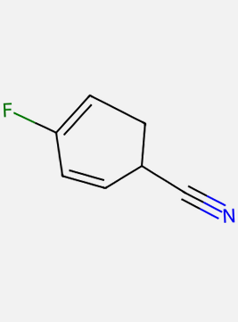 N#CC1C=CC(F)=CC1